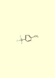 Cc1ccc([Si](F)(F)F)cc1